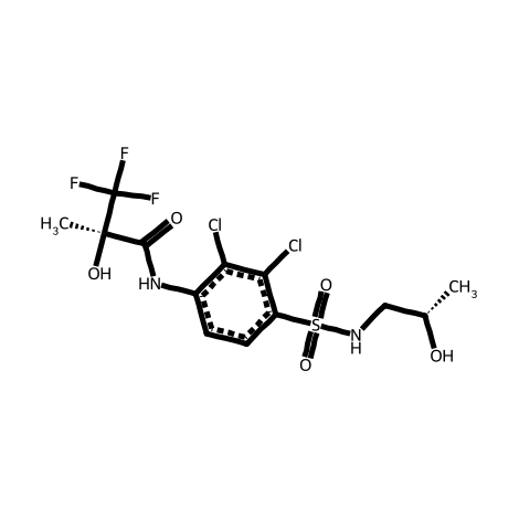 C[C@H](O)CNS(=O)(=O)c1ccc(NC(=O)[C@@](C)(O)C(F)(F)F)c(Cl)c1Cl